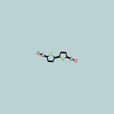 O=C=c1ccc(=c2ccc(=C=O)s2)s1